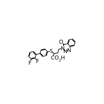 O=C(O)C(CCn1nnc2ccccc2c1=O)Sc1ccc(-c2cccc(F)c2F)cc1